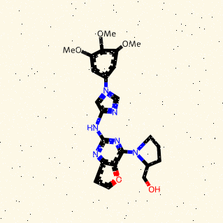 COc1cc(-n2cnc(Nc3nc(N4CCCC4CO)c4occc4n3)c2)cc(OC)c1OC